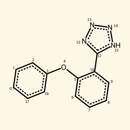 [c]1ccc(Oc2ccccc2-c2nnn[nH]2)cc1